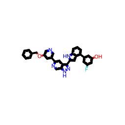 Oc1cc(F)cc(-c2cccc3[nH]c(-c4n[nH]c5cnc(-c6cncc(OCc7ccccc7)c6)cc45)cc23)c1